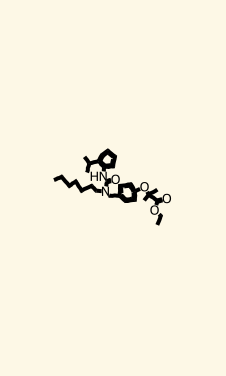 CCCCCCCN(Cc1ccc(OC(C)(C)C(=O)OCC)cc1)C(=O)Nc1ccccc1C(C)C